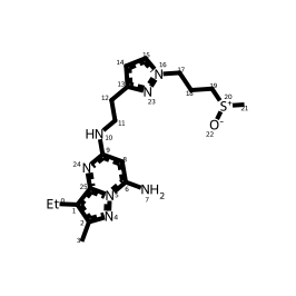 CCc1c(C)nn2c(N)cc(NCCc3ccn(CCC[S+](C)[O-])n3)nc12